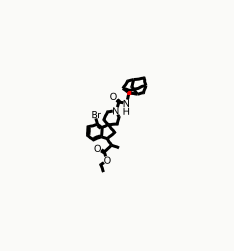 CCOC(=O)C(C)C1CC2(CCN(C(=O)NC3C4CC5CC(C4)CC3C5)CC2)c2c(Br)cccc21